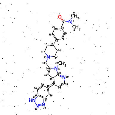 CN(C)C(=O)c1ccc(C2CCN(Cc3cc4c(-c5ccc6[nH]nnc6c5)ccnc4n3C)CC2)cc1